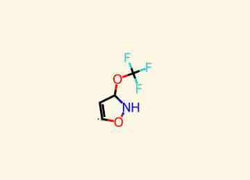 FC(F)(F)OC1C=[C]ON1